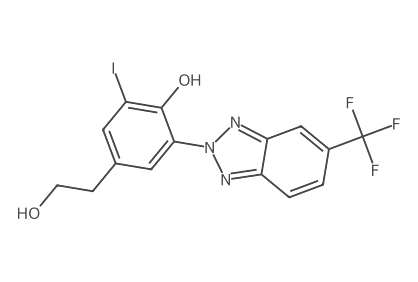 OCCc1cc(I)c(O)c(-n2nc3ccc(C(F)(F)F)cc3n2)c1